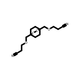 N#CCCOCC12CCC(COCCC#N)(CC1)CC2